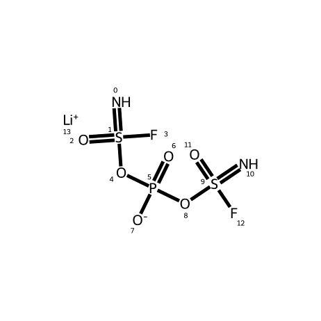 N=S(=O)(F)OP(=O)([O-])OS(=N)(=O)F.[Li+]